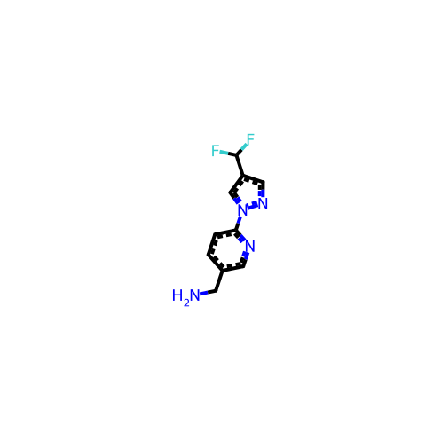 NCc1ccc(-n2cc(C(F)F)cn2)nc1